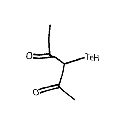 CC(=O)C([TeH])C(C)=O